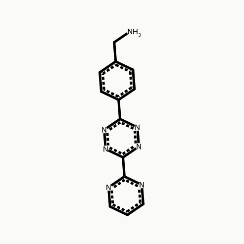 NCc1ccc(-c2nnc(-c3ncccn3)nn2)cc1